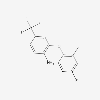 Cc1cc(F)ccc1Oc1cc(C(F)(F)F)ccc1N